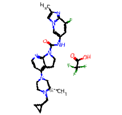 Cc1cn2cc(NC(=O)N3CCc4c(N5CCN(CC6CC6)[C@@H](C)C5)ccnc43)cc(F)c2n1.O=C(O)C(F)(F)F